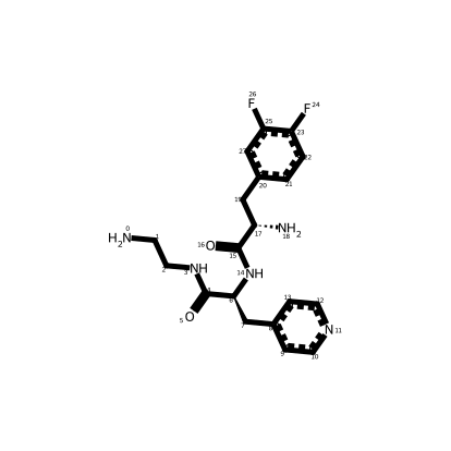 NCCNC(=O)[C@H](Cc1ccncc1)NC(=O)[C@@H](N)Cc1ccc(F)c(F)c1